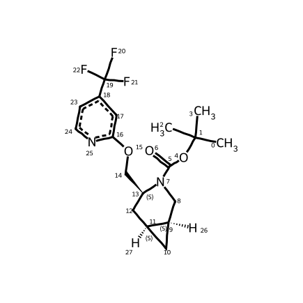 CC(C)(C)OC(=O)N1C[C@H]2C[C@H]2C[C@H]1COc1cc(C(F)(F)F)ccn1